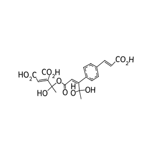 CC(O)(O)C(=CC(=O)OC(C)(O)/C(=C/C(=O)O)C(=O)O)c1ccc(C=CC(=O)O)cc1